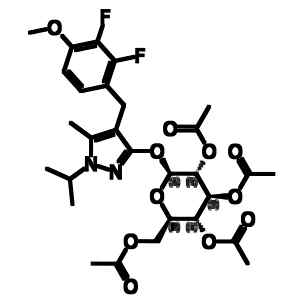 COc1ccc(Cc2c(O[C@@H]3O[C@H](COC(C)=O)[C@@H](OC(C)=O)[C@H](OC(C)=O)[C@H]3OC(C)=O)nn(C(C)C)c2C)c(F)c1F